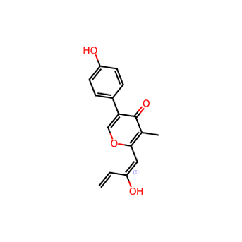 C=C/C(O)=C\c1occ(-c2ccc(O)cc2)c(=O)c1C